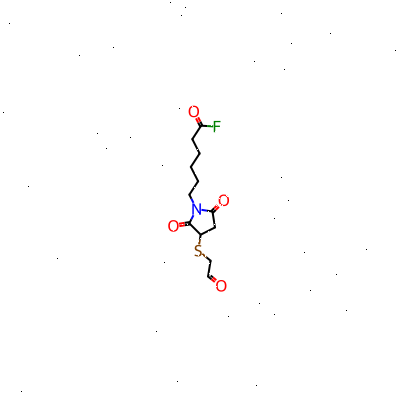 O=CCSC1CC(=O)N(CCCCCC(=O)F)C1=O